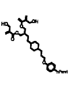 C=C(CO)C(=C)OCC(CCC1CCC(CCCOc2ccc(CCCCC)cc2)CC1)COC(=O)C(=C)CO